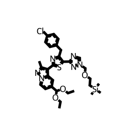 CCOC(OCC)c1ccn2nc(C)c(-c3nc(Cc4ccc(Cl)cc4)c(-c4ncn(COCC[Si](C)(C)C)n4)s3)c2c1